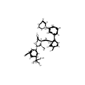 Cc1cc([C@H]2OC(=O)N(Cc3cc(C)ccc3-c3cccc(N4CCCCC4)c3)[C@H]2C)cc(C(F)(F)F)c1